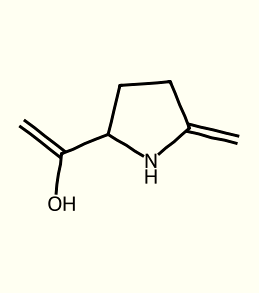 C=C1CCC(C(=C)O)N1